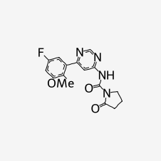 COc1ccc(F)cc1-c1cc(NC(=O)N2CCCC2=O)ncn1